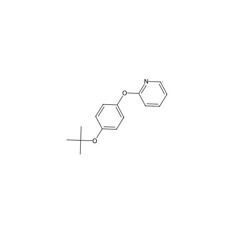 CC(C)(C)Oc1ccc(Oc2ccc[c]n2)cc1